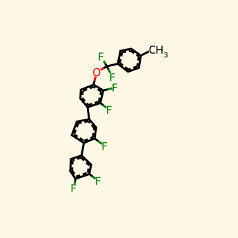 Cc1ccc(C(F)(F)Oc2ccc(-c3ccc(-c4ccc(F)c(F)c4)c(F)c3)c(F)c2F)cc1